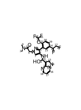 CN(C)C(=O)Cn1cc(NC(O)c2cnn3cccnc23)c(-c2cc(C(F)CF)ccc2OC(F)F)n1